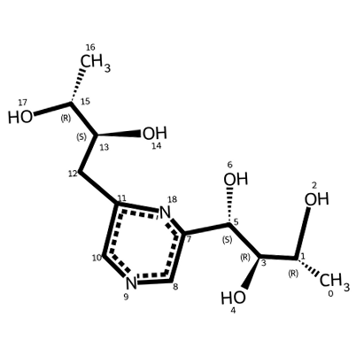 C[C@@H](O)[C@@H](O)[C@@H](O)c1cncc(C[C@H](O)[C@@H](C)O)n1